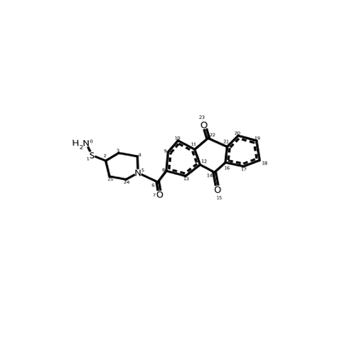 NSC1CCN(C(=O)c2ccc3c(c2)C(=O)c2ccccc2C3=O)CC1